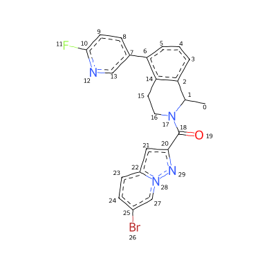 CC1c2cccc(-c3ccc(F)nc3)c2CCN1C(=O)c1cc2ccc(Br)cn2n1